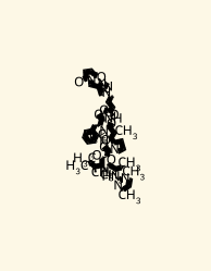 CC[C@H](C)[C@@H]([C@@H](CC(=O)N1CCCC1[C@H](OC)[C@@H](C)C(=O)N[C@@H](Cc1ccccc1)C(=O)NS(=O)(=O)CCCn1cc(CN2C(=O)C=CC2=O)nn1)OC)N(C)C(=O)[C@@H](Nc1nccc(C)n1)C(C)C